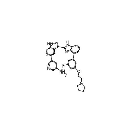 Nc1cncc(-c2cc3c(-c4nc5c(-c6cc(F)cc(OCCN7CCCC7)c6)cccc5[nH]4)n[nH]c3cn2)c1